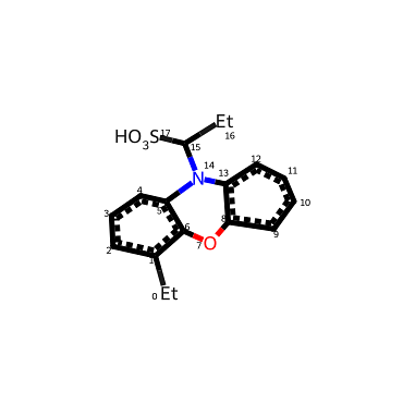 CCc1cccc2c1Oc1ccccc1N2C(CC)S(=O)(=O)O